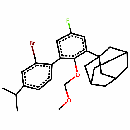 COCOc1c(-c2ccc(C(C)C)cc2Br)cc(F)cc1C12CC3CC(CC(C3)C1)C2